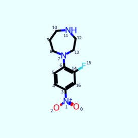 O=[N+]([O-])c1ccc(N2CCCNCC2)c(F)c1